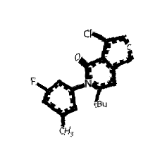 Cc1cc(F)cc(-n2c(C(C)(C)C)cc3cccc(Cl)c3c2=O)c1